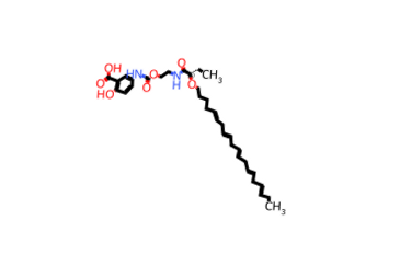 CCC=CCC=CCC=CCC=CCC=CCCCCO[C@@H](CC)C(=O)NCCOC(=O)Nc1ccc(O)c(C(=O)O)c1